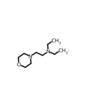 [CH2]CN(CC)CCN1CCOCC1